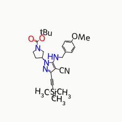 COc1ccc(CNc2c(C#N)c(C#C[Si](C)(C)C)nn2[C@H]2CCN(C(=O)OC(C)(C)C)C2)cc1